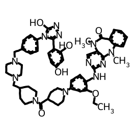 CCOc1cc(N2CCC(C(=O)N3CCC(CN4CCN(Cc5ccc(-n6c(O)nnc6-c6ccc(O)cc6O)cc5)CC4)CC3)CC2)ccc1Nc1ncc2c(n1)N(C)c1ccccc1C(=O)N2C